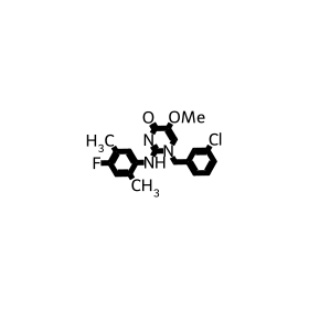 COc1cn(Cc2cccc(Cl)c2)c(Nc2cc(C)c(F)cc2C)nc1=O